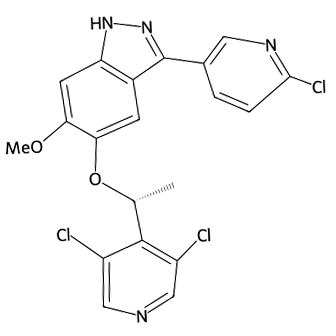 COc1cc2[nH]nc(-c3ccc(Cl)nc3)c2cc1O[C@H](C)c1c(Cl)cncc1Cl